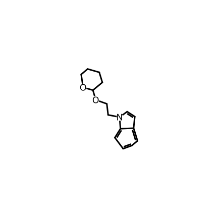 c1ccc2c(c1)ccn2CCOC1CCCCO1